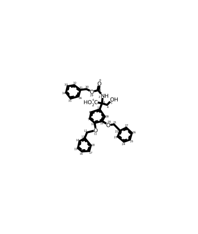 O=C(NC(CO)(C(=O)O)c1ccc(OCc2ccccc2)c(OCc2ccccc2)c1)OCc1ccccc1